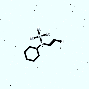 CCC=CN(C1CCCCC1)[Si](CC)(CC)CC